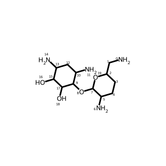 NCC1CCC(N)C(OC2C(N)CC(N)C(O)C2O)O1